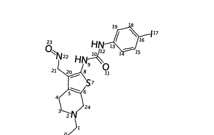 CCN1CCc2c(sc(NC(=O)Nc3ccc(I)cc3)c2CN=O)C1